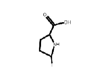 O=C(O)C1CCC(I)N1